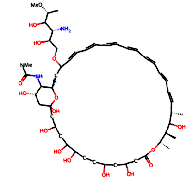 CNC(=O)NC1[C@@H]2CC(OC[C@@H](O)[C@@H](N)C(O)[C@@H](C)OC)/C=C/C=C/C=C/C=C/C=C/C=C/C=C/[C@H](C)C(O)[C@@H](C)[C@H](C)OC(=O)CC(O)CC(O)CCC(O)C(O)CC(O)CC(O)(C[C@@H]1O)O2